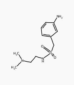 CN(C)CCNS(=O)(=O)Cc1cccc(N)c1